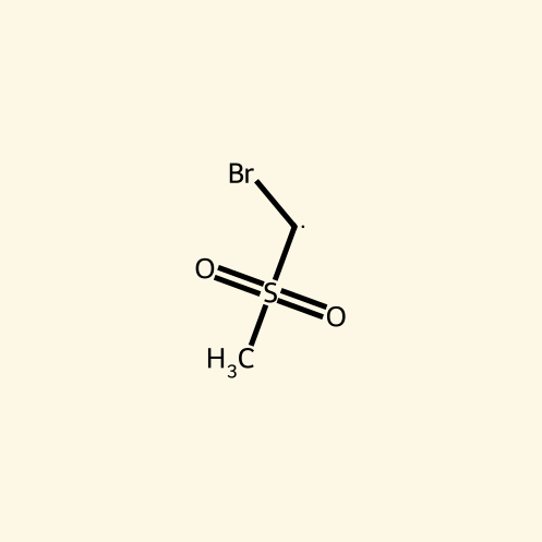 CS(=O)(=O)[CH]Br